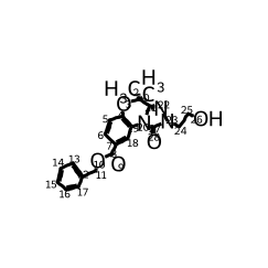 CC1(C)Oc2ccc(C(=O)OCc3ccccc3)cc2-n2c1nn(CCO)c2=O